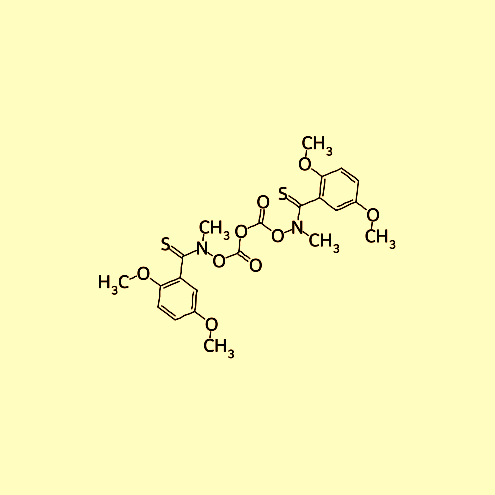 COc1ccc(OC)c(C(=S)N(C)OC(=O)OC(=O)ON(C)C(=S)c2cc(OC)ccc2OC)c1